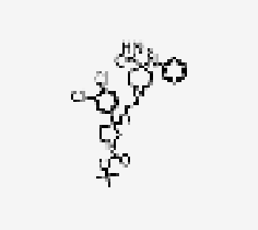 CC(C)(C)OC(=O)N1CCC(OCCN2CCC3(CC2)C(=O)NCN3c2ccccc2)(c2ccc(Cl)c(Cl)c2)C1